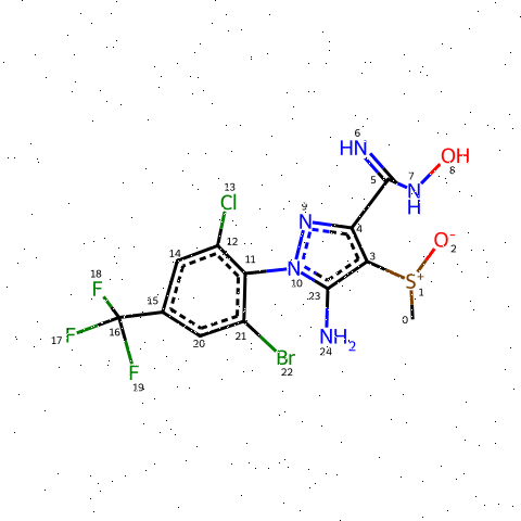 C[S+]([O-])c1c(C(=N)NO)nn(-c2c(Cl)cc(C(F)(F)F)cc2Br)c1N